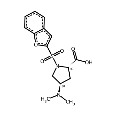 CN(C)[C@@H]1C[C@@H](C(=O)O)N(S(=O)(=O)c2cc3ccccc3o2)C1